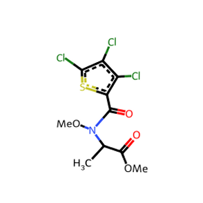 COC(=O)C(C)N(OC)C(=O)c1sc(Cl)c(Cl)c1Cl